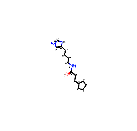 O=C(CCC1CCCC1)NCCCCc1c[nH]cn1